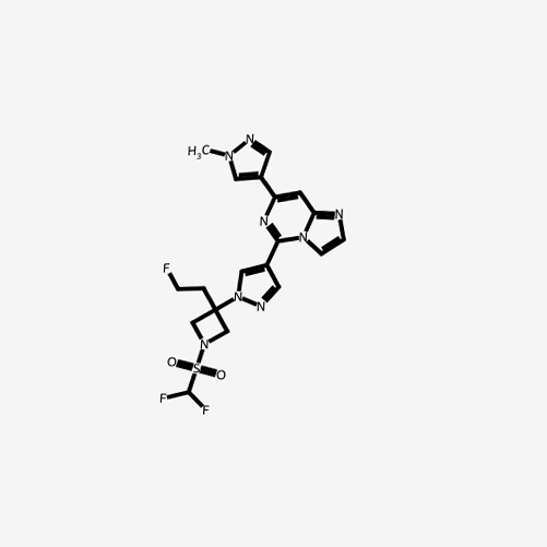 Cn1cc(-c2cc3nccn3c(-c3cnn(C4(CCF)CN(S(=O)(=O)C(F)F)C4)c3)n2)cn1